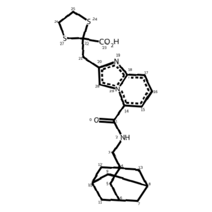 O=C(NCC12CC3CC(CC(C3)C1)C2)c1cccc2nc(CC3(C(=O)O)SCCS3)cn12